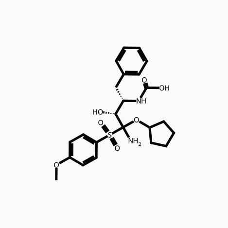 COc1ccc(S(=O)(=O)C(N)(OC2CCCC2)[C@H](O)[C@H](Cc2ccccc2)NC(=O)O)cc1